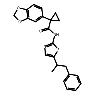 CC(Cc1ccccc1)c1cnc(NC(=O)C2(c3ccc4c(c3)OCO4)CC2)s1